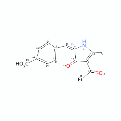 CCC(=O)C1=C(C)N/C(=C/c2ccc(C(=O)O)cc2)C1=O